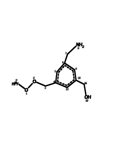 CCCOOCc1cc(CN)cc(CO)c1